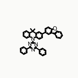 CC1(C)c2ccccc2N(c2nc(-c3ccccc3)nc(-c3ccccc3)n2)c2ccc(-c3ccc4oc5ccccc5c4c3)cc21